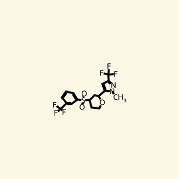 Cn1nc(C(F)(F)F)cc1C1CC(S(=O)(=O)c2cccc(C(F)(F)F)c2)CCO1